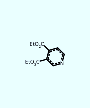 CCOC(=O)c1ccncc1C(=O)OCC